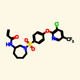 C=CC(=O)NC1CCCCN(S(=O)(=O)c2ccc(Oc3ncc(C(F)(F)F)cc3Cl)cc2)C1